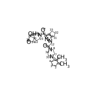 Cc1cccc(N2CCN(C(=O)Cn3nc(C(=O)N4CCC5(CC4)COCC5O)c4c3CCC4)CC2)c1C